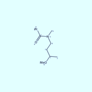 COC(C)CCN(C)C(=O)C(C)C